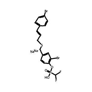 O=P(O)(Oc1ccc(CSCC=Cc2ccc(Br)cc2)cc1Br)C(F)F.[Na].[Na]